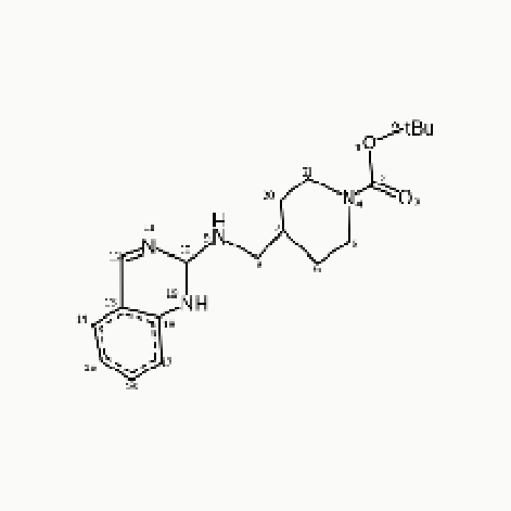 CC(C)(C)OC(=O)N1CCC(CNC2N=Cc3ccccc3N2)CC1